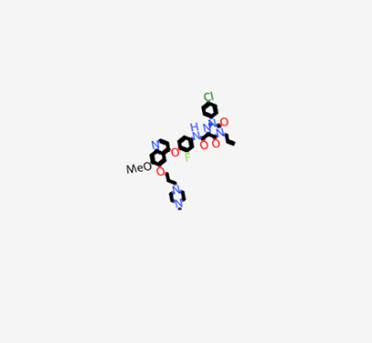 C=CCn1c(=O)c(C(=O)Nc2ccc(Oc3ccnc4cc(OC)c(OCCCN5CCN(C)CC5)cc34)c(F)c2)nn(-c2ccc(Cl)cc2)c1=O